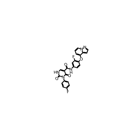 O=C(Nc1ccc(Oc2cccn3nccc23)c(F)c1)c1c[nH]c(=O)n(-c2ccc(F)cc2)c1=O